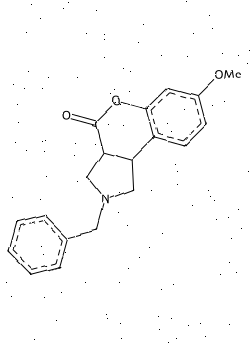 COc1ccc2c(c1)OC(=O)C1CN(Cc3ccccc3)CC21